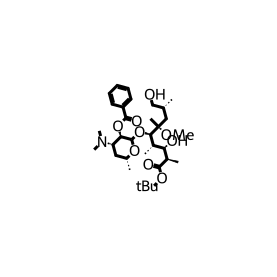 CO[C@](C)(C[C@@H](C)CO)[C@H](OC1O[C@H](C)C[C@H](N(C)C)[C@H]1OC(=O)c1ccccc1)[C@@H](C)[C@H](O)[C@@H](C)C(=O)OC(C)(C)C